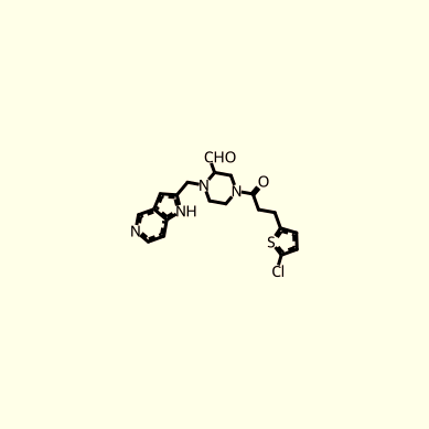 O=CC1CN(C(=O)CCc2ccc(Cl)s2)CCN1Cc1cc2cnccc2[nH]1